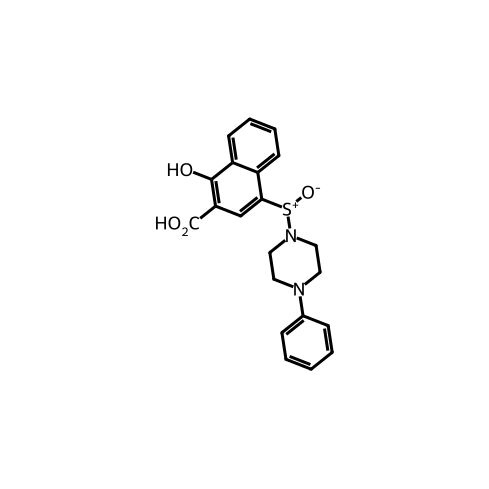 O=C(O)c1cc([S+]([O-])N2CCN(c3ccccc3)CC2)c2ccccc2c1O